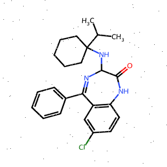 CC(C)C1(NC2N=C(c3ccccc3)c3cc(Cl)ccc3NC2=O)CCCCC1